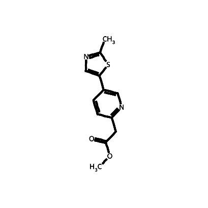 COC(=O)Cc1ccc(-c2cnc(C)s2)cn1